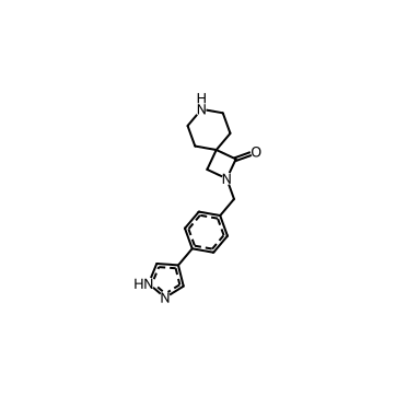 O=C1N(Cc2ccc(-c3cn[nH]c3)cc2)CC12CCNCC2